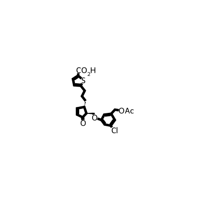 CC(=O)OCc1cc(Cl)cc(OC[C@H]2C(=O)C=C[C@@H]2CCCc2ccc(C(=O)O)s2)c1